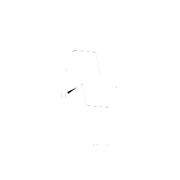 CCOC(=O)CC1CC2CC(=O)C[C@H]2C1